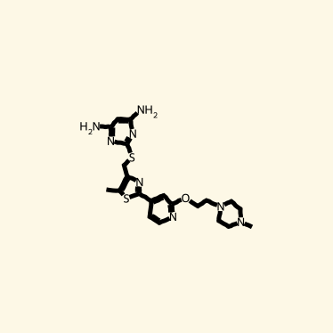 Cc1sc(-c2ccnc(OCCN3CCN(C)CC3)c2)nc1CSc1nc(N)cc(N)n1